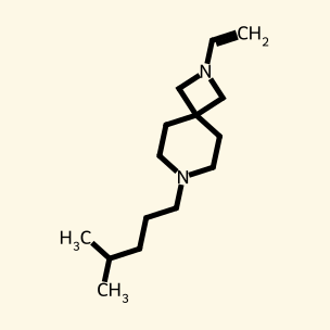 C=CN1CC2(CCN(CCCC(C)C)CC2)C1